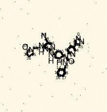 Cn1cc(-c2ccc(N(C(=O)NCc3ccccc3)C3CCC(Nc4ncc(C#N)c(NCCN5CCCC5=O)n4)CC3)nc2)cn1